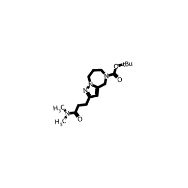 CN(C)C(=O)CCc1cc2n(n1)CCCN(C(=O)OC(C)(C)C)C2